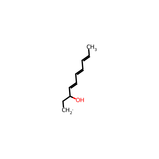 [CH2]CC(O)C=CC=CC=CC